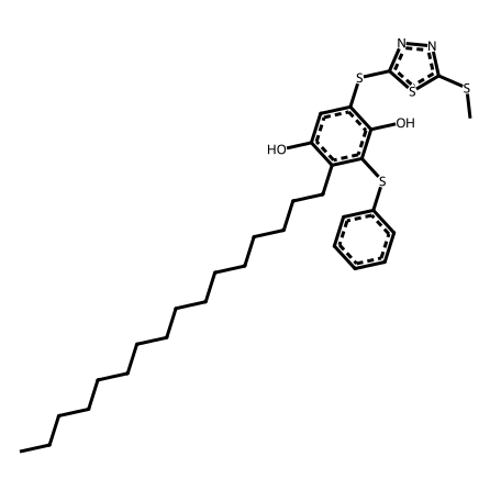 CCCCCCCCCCCCCCCCc1c(O)cc(Sc2nnc(SC)s2)c(O)c1Sc1ccccc1